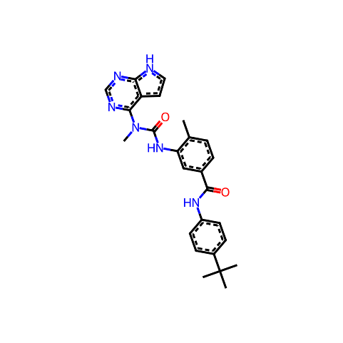 Cc1ccc(C(=O)Nc2ccc(C(C)(C)C)cc2)cc1NC(=O)N(C)c1ncnc2[nH]ccc12